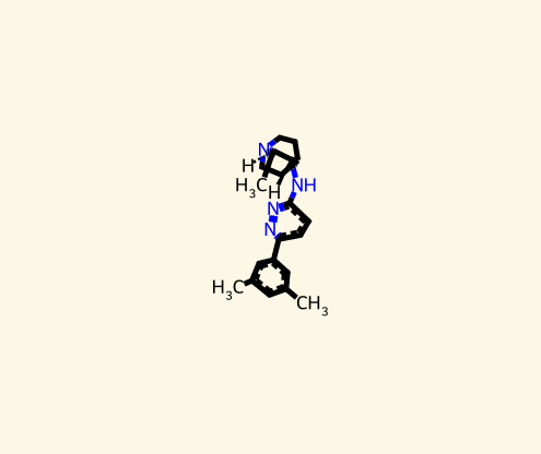 Cc1cc(C)cc(-c2ccc(N[C@H]3C4CCN(CC4)[C@@H]3C)nn2)c1